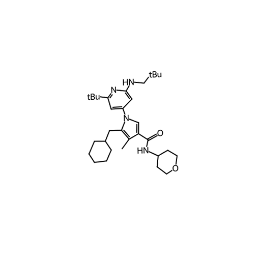 Cc1c(C(=O)NC2CCOCC2)cn(-c2cc(NCC(C)(C)C)nc(C(C)(C)C)c2)c1CC1CCCCC1